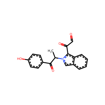 CC(C(=O)c1ccc(O)cc1)n1cc2ccccc2c1C(=O)C=O